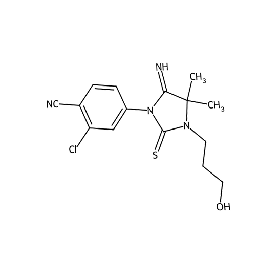 CC1(C)C(=N)N(c2ccc(C#N)c(Cl)c2)C(=S)N1CCCO